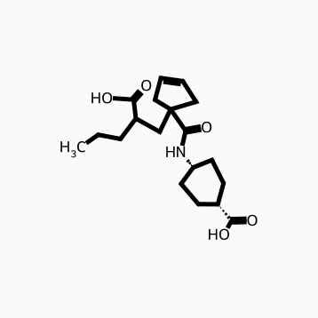 CCCC(CC1(C(=O)N[C@H]2CC[C@@H](C(=O)O)CC2)CC=CC1)C(=O)O